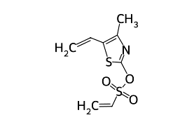 C=Cc1sc(OS(=O)(=O)C=C)nc1C